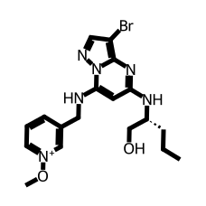 CCC[C@H](CO)Nc1cc(NCc2ccc[n+](OC)c2)n2ncc(Br)c2n1